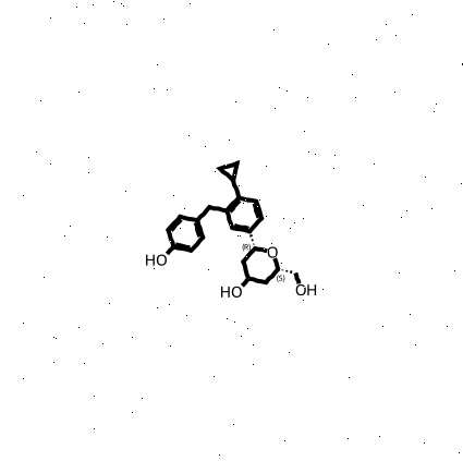 OC[C@@H]1CC(O)C[C@H](c2ccc(C3CC3)c(Cc3ccc(O)cc3)c2)O1